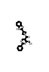 CCOc1nc(-c2ccccc2)ncc1C(=O)N1CC(c2nc3ccccc3[nH]2)C1